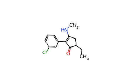 CCC1CC(NC)=C(c2cccc(Cl)c2)C1=O